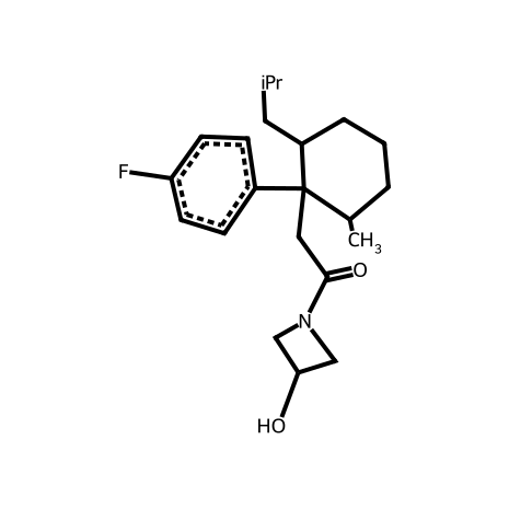 CC(C)CC1CCCC(C)C1(CC(=O)N1CC(O)C1)c1ccc(F)cc1